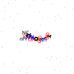 C=C(C)C(=O)OCCCNS(=O)(=O)c1ccc(N=Nc2c(C)c(C#N)c(=O)n(CCC)c2O)cc1